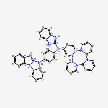 C1=CB2N(C=C1)B1C=CC=CN1B1C=CC(n3c4ccc(-n5c6ccccc6n6c7ccccc7nc56)cc4n4c5ccccc5nc34)=CN1B1C=CC=CN21